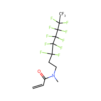 C=CC(=O)N(C)CCC(F)(F)C(F)(F)C(F)(F)C(F)(F)C(F)(F)C(F)(F)F